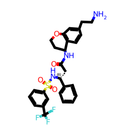 NCCc1ccc2c(c1)OCCC2NC(=O)C[C@@H](NS(=O)(=O)c1cccc(C(F)(F)F)c1)c1ccccc1